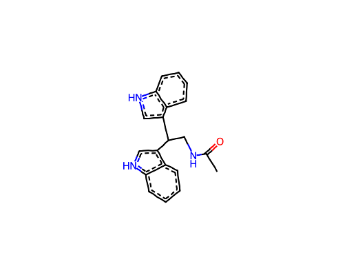 CC(=O)NCC(c1c[nH]c2ccccc12)c1c[nH]c2ccccc12